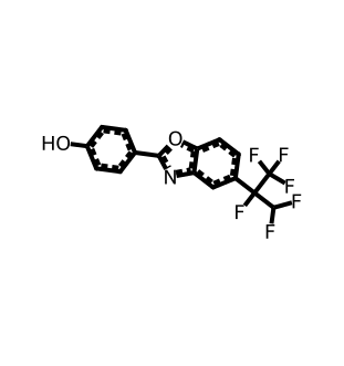 Oc1ccc(-c2nc3cc(C(F)(C(F)F)C(F)(F)F)ccc3o2)cc1